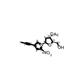 CC#Cc1cc([N+](=O)[O-])n([C@H]2C[C@H](OC(C)=O)[C@@H](CO)O2)c1